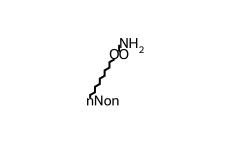 CCCCCCCCCCCCCCCCCCCOC(=O)CN